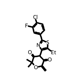 C=C1OC(C)(C)C(=O)C(c2nc(-c3ccc(Cl)c(F)c3)sc2CC)C1=O